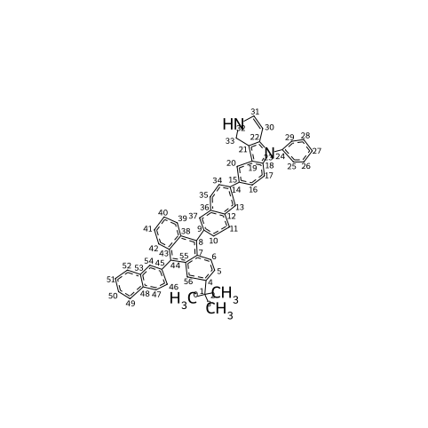 CC(C)(C)c1ccc2c(-c3ccc4cc(-c5ccc6c(c5)c5c(n6-c6ccccc6)C=CNC5)ccc4c3)c3ccccc3c(-c3ccc4ccccc4c3)c2c1